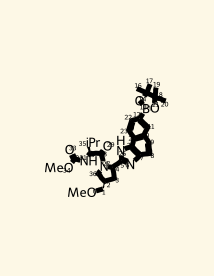 COC[C@H]1CC(c2nc3ccc4cc(B5OC(C)(C)C(C)(C)O5)ccc4c3[nH]2)N(C(=O)[C@@H](NC(=O)OC)C(C)C)C1